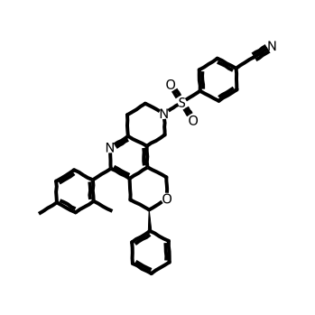 Cc1ccc(-c2nc3c(c4c2C[C@H](c2ccccc2)OC4)CN(S(=O)(=O)c2ccc(C#N)cc2)CC3)c(C)c1